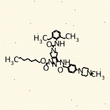 CCCCCCCOC(=O)n1nc(NC(=O)c2ccc(N3CCN(C)CC3)cc2)c2c1CN(C(=O)Nc1c(CC)cccc1CC)C2